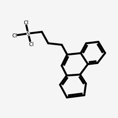 ClS(Cl)(Cl)CCCc1cc2ccccc2c2ccccc12